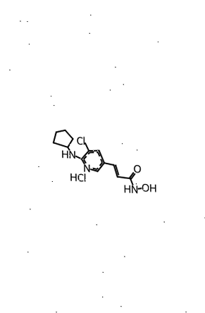 Cl.O=C(/C=C/c1cnc(NC2CCCC2)c(Cl)c1)NO